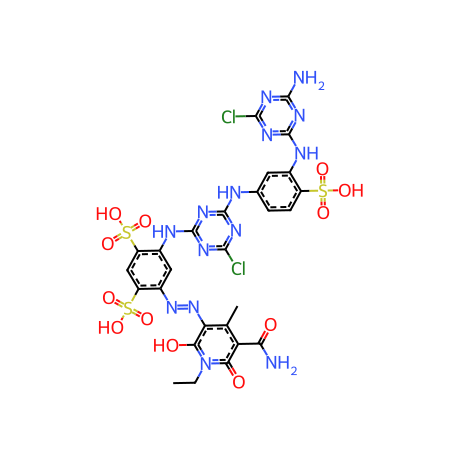 CCn1c(O)c(N=Nc2cc(Nc3nc(Cl)nc(Nc4ccc(S(=O)(=O)O)c(Nc5nc(N)nc(Cl)n5)c4)n3)c(S(=O)(=O)O)cc2S(=O)(=O)O)c(C)c(C(N)=O)c1=O